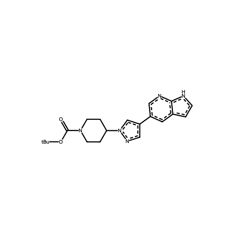 CC(C)(C)OC(=O)N1CCC(n2cc(-c3cnc4[nH]ccc4c3)cn2)CC1